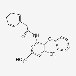 O=C(CC1=CCCC=C1)Nc1cc(C(=O)O)cc(C(F)(F)F)c1Oc1ccccc1